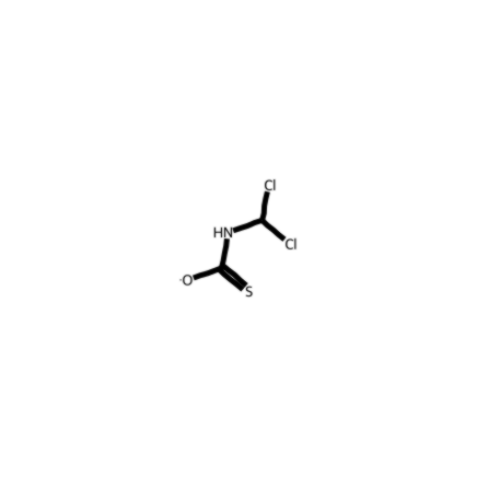 [O]C(=S)NC(Cl)Cl